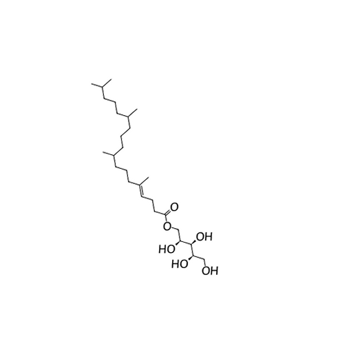 C/C(=C\CCC(=O)OC[C@H](O)[C@@H](O)[C@H](O)CO)CCCC(C)CCCC(C)CCCC(C)C